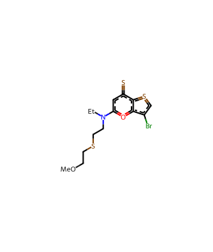 CCN(CCSCCOC)c1cc(=S)c2scc(Br)c2o1